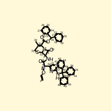 C=CO/N=C(/C(=O)NC1C(=O)N2C(C(=O)OC(c3ccccc3)c3ccccc3)=C(C)CSC12)c1csc(NC(c2ccccc2)(c2ccccc2)c2ccccc2)n1